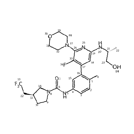 Cc1ccc(NC(=O)N2CC[C@@H](CC(F)(F)F)C2)cc1-c1cc(N[C@H](C)CO)nc(N2CCOCC2)c1F